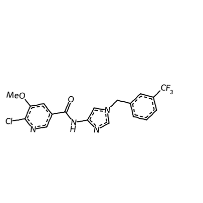 COc1cc(C(=O)Nc2cn(Cc3cccc(C(F)(F)F)c3)cn2)cnc1Cl